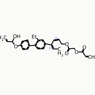 C=CC(=O)OCC(=O)OC/C=C\C(=C/C)c1ccc(-c2ccc(OC(O)C=C)cc2)c(CC)c1